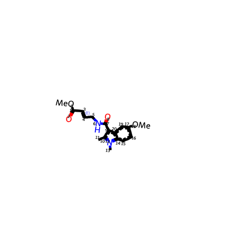 COC(=O)/C=C/CNC(=O)c1c(C)n(C)c2ccc(OC)cc12